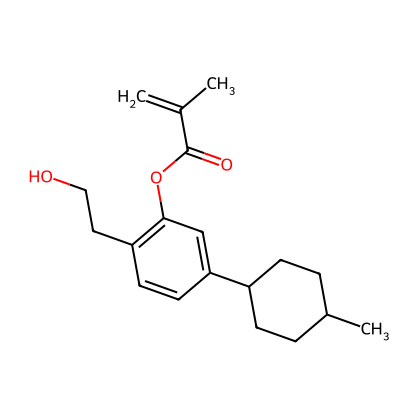 C=C(C)C(=O)Oc1cc(C2CCC(C)CC2)ccc1CCO